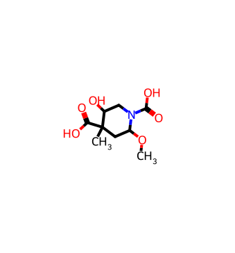 COC1CC(C)(C(=O)O)C(O)CN1C(=O)O